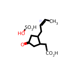 C/C=C\CC1CC(=O)CC1CC(=O)O.O=S(=O)(O)O